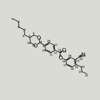 CCCCCC1COC(c2ccc(C(=O)Oc3ccc(CCC)c(C#N)c3)cc2)OC1